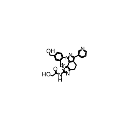 O=C(CO)Nc1nc2c(s1)-c1c(c(-c3cccnc3)nn1-c1ccc(CO)cc1Br)CC2